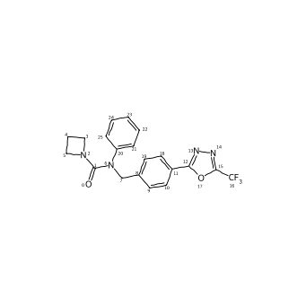 O=C(N1CCC1)N(Cc1ccc(-c2nnc(C(F)(F)F)o2)cc1)c1ccccc1